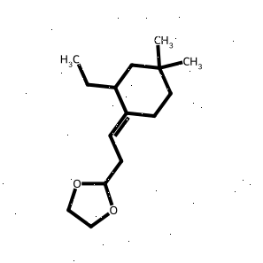 CCC1CC(C)(C)CCC1=CCC1OCCO1